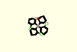 Clc1ccccc1[B-](c1ccccc1Cl)(c1ccccc1Cl)c1ccccc1Cl